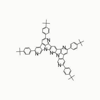 CC(C)(C)c1ccc(-c2cc3c4cc(-c5ccc(C(C)(C)C)cc5)nc5c6cc7c8nc(-c9ccc(C(C)(C)C)cc9)cc9c%10cc(-c%11ccc(C(C)(C)C)cc%11)ncc%10n(c7nc6n(c3cn2)c45)c98)cc1